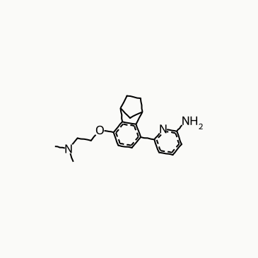 CN(C)CCOc1ccc(-c2cccc(N)n2)c2c1C1CCC2C1